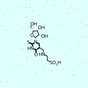 O=c1[nH]c(=S)n([C@@H]2O[C@H](CO)[C@H](O)[C@@H]2O)cc1CNCCS(=O)(=O)O